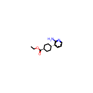 CCOC(=O)[C@H]1CC[C@H](c2cccnc2N)CC1